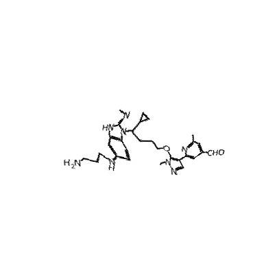 C/N=c1\[nH]c2cc(NCCCN)ccc2n1C(CCCOc1c(-c2cc(C=O)cc(C)n2)cnn1C)C1CC1